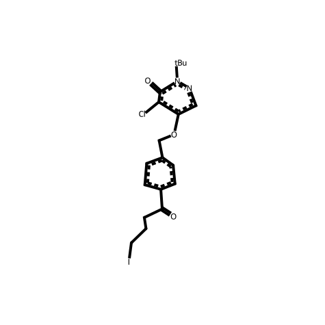 CC(C)(C)n1ncc(OCc2ccc(C(=O)CCCI)cc2)c(Cl)c1=O